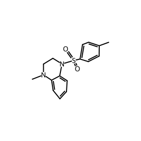 Cc1ccc(S(=O)(=O)N2CCN(C)c3ccccc32)cc1